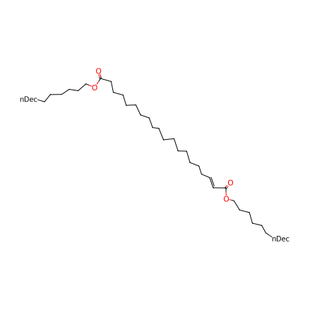 CCCCCCCCCCCCCCCCOC(=O)C=CCCCCCCCCCCCCCCCCC(=O)OCCCCCCCCCCCCCCCC